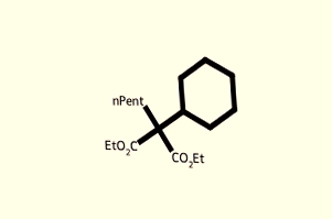 CCCCCC(C(=O)OCC)(C(=O)OCC)C1CCCCC1